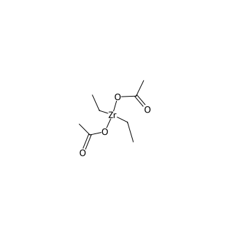 C[CH2][Zr]([CH2]C)([O]C(C)=O)[O]C(C)=O